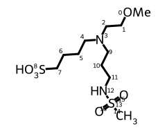 COCCN(CCCCS(=O)(=O)O)CCCNS(C)(=O)=O